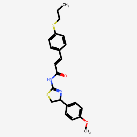 CCCSc1ccc(/C=C/C(=O)NC2=NC(c3ccc(OC)cc3)CS2)cc1